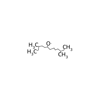 CCC(C)CCCCC([O])CCC(C)CC